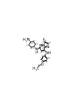 CCOc1ccc(Nc2cc(N[C@H]3CC[C@H](N)CC3)nn3c(F)cnc23)cc1